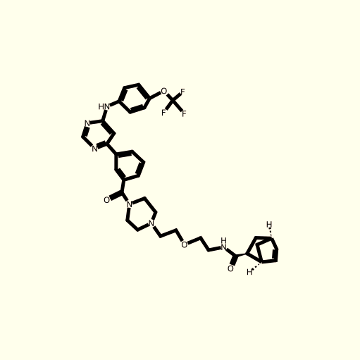 O=C(NCCOCCN1CCN(C(=O)c2cccc(-c3cc(Nc4ccc(OC(F)(F)F)cc4)ncn3)c2)CC1)[C@H]1C[C@H]2C=C[C@@H]1C2